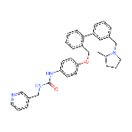 CC1CCCN1Cc1cccc(-c2ccccc2COc2ccc(NC(=O)NCc3cccnc3)cc2)c1